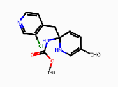 CC(C)(C)OC(=O)NC1(Cc2ccncc2Cl)C=CC(C=O)=CN1